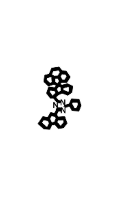 c1ccc(-c2nc(-c3cccc4c3-c3ccccc3C43c4cccc5ccc6cccc3c6c45)nc(-c3cc4ccccc4c4ccccc34)n2)cc1